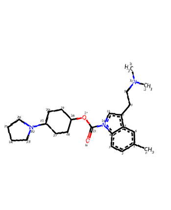 Cc1ccc2c(c1)c(CCN(C)C)cn2C(=O)OC1CCC(N2CCCC2)CC1